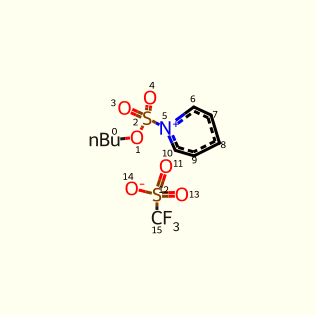 CCCCOS(=O)(=O)[n+]1ccccc1.O=S(=O)([O-])C(F)(F)F